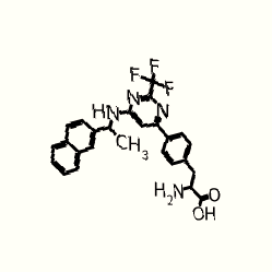 CC(Nc1cc(-c2ccc(CC(N)C(=O)O)cc2)nc(C(F)(F)F)n1)c1ccc2ccccc2c1